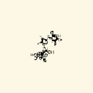 C[C@H]1[C@H](C)[C@@H](COP(=O)(O)OP(=O)(O)OP(=O)(O)O)O[C@H]1Cn1cc(F)c(=O)[nH]c1=O